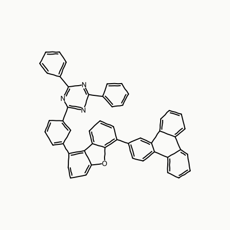 c1ccc(-c2nc(-c3ccccc3)nc(-c3cccc(-c4cccc5oc6c(-c7ccc8c9ccccc9c9ccccc9c8c7)cccc6c45)c3)n2)cc1